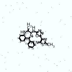 C=C1Nc2ccccc2C(c2ccccc2)=N[C@@H]1Nc1nnc(-c2nc(C)sc2N)o1